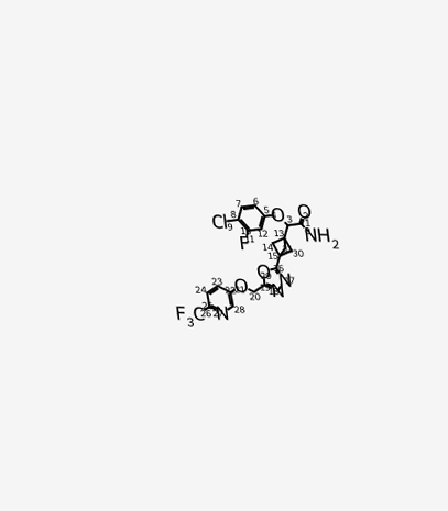 NC(=O)C(Oc1ccc(Cl)c(F)c1)C12CC(c3nnc(COc4ccc(C(F)(F)F)nc4)o3)(C1)C2